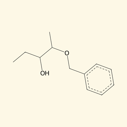 CCC(O)C(C)OCc1ccccc1